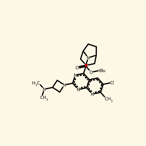 Cc1nc2nc(N3CC(N(C)C)C3)nc(N3CC4CCC(C3)N4C(=O)OC(C)(C)C)c2cc1Cl